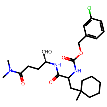 CN(C)C(=O)CC[C@@H](C=O)NC(=O)C(CC1(C)CCCCC1)NC(=O)OCc1cccc(Cl)c1